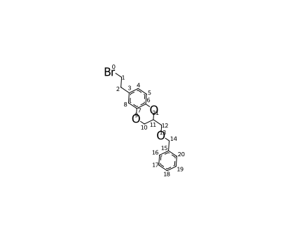 BrCCc1ccc2c(c1)OCC(COCc1ccccc1)O2